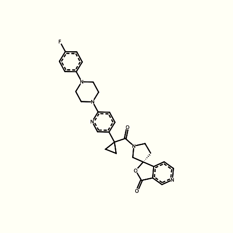 O=C1O[C@]2(CCN(C(=O)C3(c4ccc(N5CCN(c6ccc(F)cc6)CC5)nc4)CC3)C2)c2ccncc21